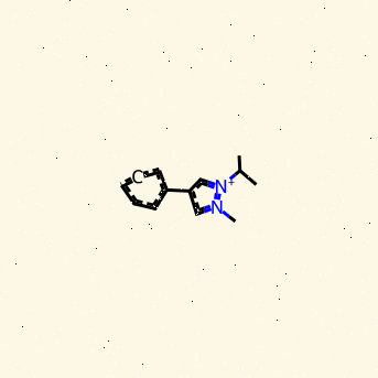 CC(C)[n+]1cc(-c2ccccc2)cn1C